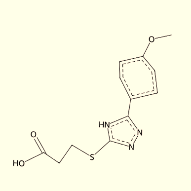 COc1ccc(-c2nnc(SCCC(=O)O)[nH]2)cc1